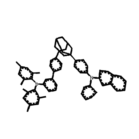 Cc1cc(C)c(B(c2cccc(-c3ccc(C45CC6CC(C4)CC(c4ccc(N(c7ccccc7)c7ccc8ccccc8c7)cc4)(C6)C5)cc3)c2)c2c(C)cc(C)cc2C)c(C)c1